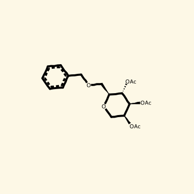 CC(=O)O[C@@H]1[C@@H](OC(C)=O)[C@@H](OC(C)=O)CO[C@H]1COCc1ccccc1